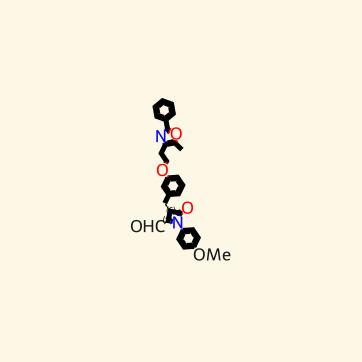 COc1ccc(N2C(=O)[C@@H](Cc3cccc(OCCc4nc(-c5ccccc5)oc4C)c3)[C@H]2C=O)cc1